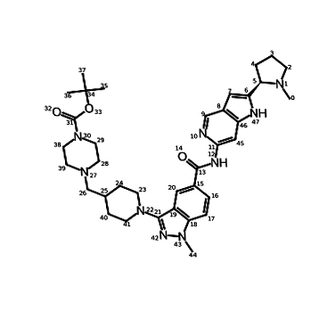 CN1CCC[C@@H]1c1cc2cnc(NC(=O)c3ccc4c(c3)c(N3CCC(CN5CCN(C(=O)OC(C)(C)C)CC5)CC3)nn4C)cc2[nH]1